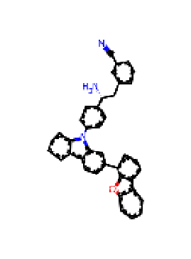 N#Cc1cccc(C[C@@H](N)c2ccc(-n3c4ccccc4c4ccc(-c5cccc6c5oc5ccccc56)cc43)cc2)c1